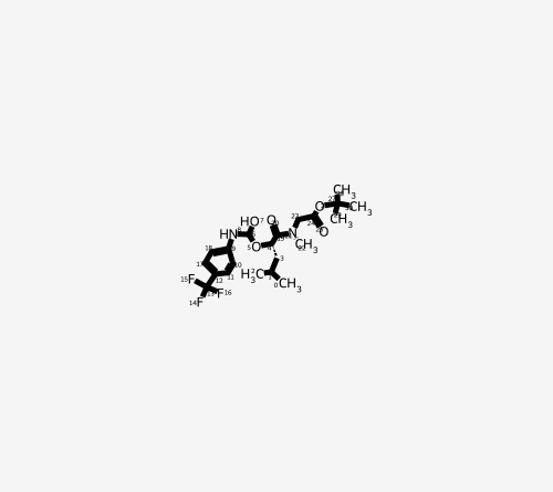 CC(C)C[C@H](OC(O)Nc1ccc(C(F)(F)F)cc1)C(=O)N(C)CC(=O)OC(C)(C)C